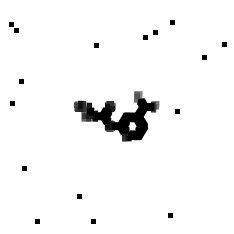 CC(C)(C)NC(=O)Oc1cc(C(F)F)ccn1